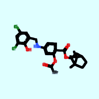 CCCC(=O)Oc1cc(NCc2cc(Cl)cc(Cl)c2O)ccc1C(=O)OC1CC2CCC1(C)C2(C)C